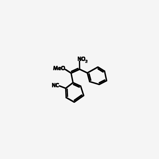 COC(=C(c1ccccc1)[N+](=O)[O-])c1ccccc1C#N